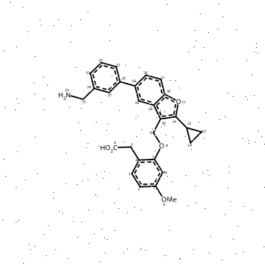 COc1ccc(CC(=O)O)c(OCc2c(C3CC3)oc3ccc(-c4cccc(CN)c4)cc23)c1